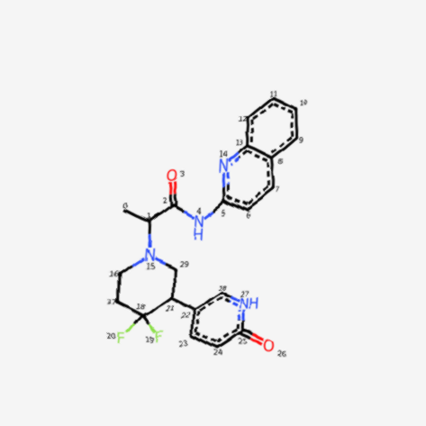 CC(C(=O)Nc1ccc2ccccc2n1)N1CCC(F)(F)C(c2ccc(=O)[nH]c2)C1